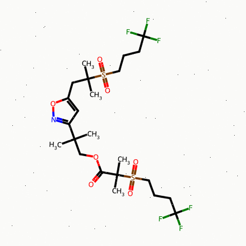 CC(C)(COC(=O)C(C)(C)S(=O)(=O)CCCC(F)(F)F)c1cc(CC(C)(C)S(=O)(=O)CCCC(F)(F)F)on1